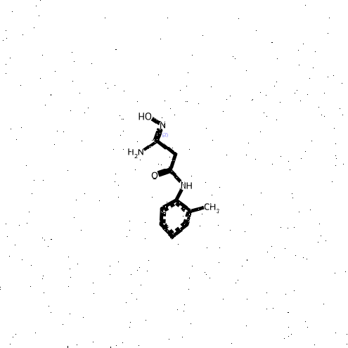 Cc1ccccc1NC(=O)C/C(N)=N/O